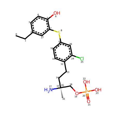 CCc1ccc(O)c(Sc2ccc(CC[C@](C)(N)COP(=O)(O)O)c(Cl)c2)c1